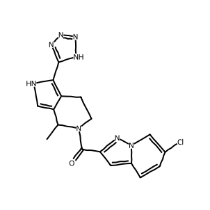 CC1c2c[nH]c(-c3nnn[nH]3)c2CCN1C(=O)c1cc2ccc(Cl)cn2n1